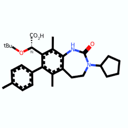 Cc1ccc(-c2c(C)c3c(c(C)c2[C@H](OC(C)(C)C)C(=O)O)NC(=O)N(C2CCCC2)CC3)cc1